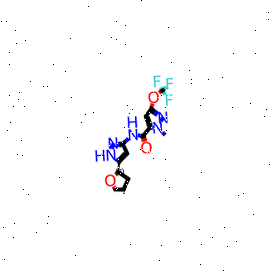 Cn1nc(OC(F)(F)F)cc1C(=O)Nc1cc([C@H]2C[CH]CO2)[nH]n1